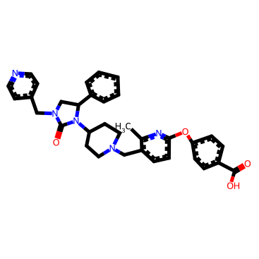 Cc1nc(Oc2ccc(C(=O)O)cc2)ccc1CN1CCC(N2C(=O)N(Cc3ccncc3)CC2c2ccccc2)CC1